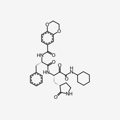 O=C(NC1CCCCC1)C(=O)[C@H](C[C@@H]1CCNC1=O)NC(=O)[C@H](Cc1ccccc1)NC(=O)c1ccc2c(c1)OCCO2